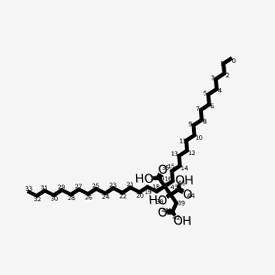 CCCCCCCCCCCCCCCCCC(CCCCCCCCCCCCCCCC)(C(=O)O)C(O)(CC(=O)O)C(=O)O